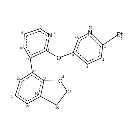 CCc1ccc(Oc2ncccc2-c2cccc3c2OCC3)cn1